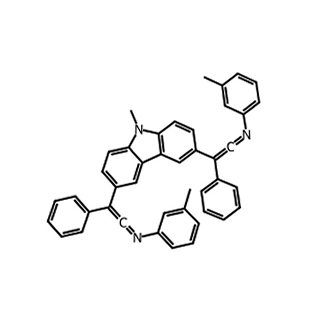 Cc1cccc(N=C=C(c2ccccc2)c2ccc3c(c2)c2cc(C(=C=Nc4cccc(C)c4)c4ccccc4)ccc2n3C)c1